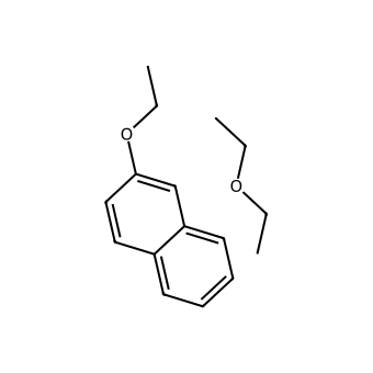 CCOCC.CCOc1ccc2ccccc2c1